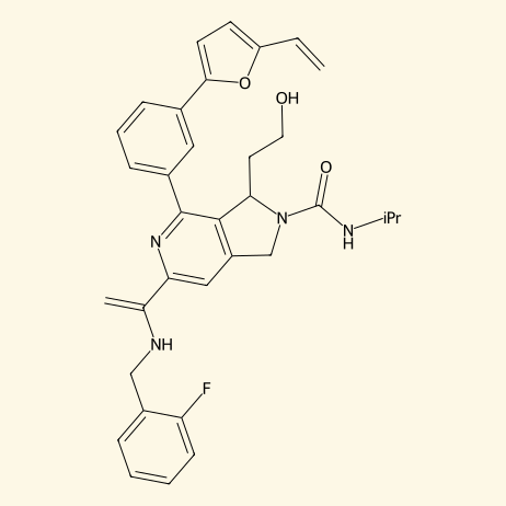 C=Cc1ccc(-c2cccc(-c3nc(C(=C)NCc4ccccc4F)cc4c3C(CCO)N(C(=O)NC(C)C)C4)c2)o1